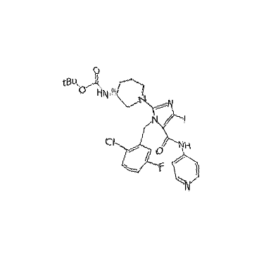 CC(C)(C)OC(=O)N[C@@H]1CCCN(c2nc(I)c(C(=O)Nc3ccncc3)n2Cc2cc(F)ccc2Cl)C1